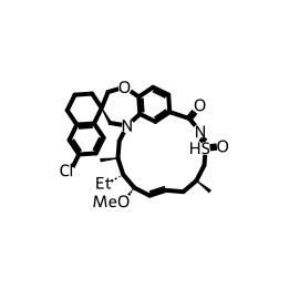 CC[C@H]1[C@@H](OC)/C=C/C[C@H](C)C/[SH](=O)=N\C(=O)c2ccc3c(c2)N(C[C@@H]1C)C[C@@]1(CCCc2cc(Cl)ccc21)CO3